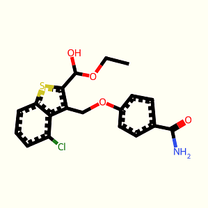 CCOC(O)c1sc2cccc(Cl)c2c1COc1ccc(C(N)=O)cc1